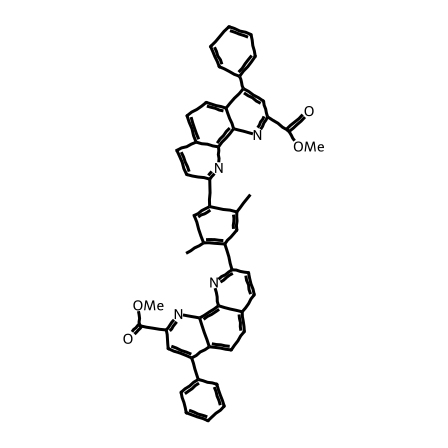 COC(=O)c1cc(-c2ccccc2)c2ccc3ccc(-c4cc(C)c(-c5ccc6ccc7c(-c8ccccc8)cc(C(=O)OC)nc7c6n5)cc4C)nc3c2n1